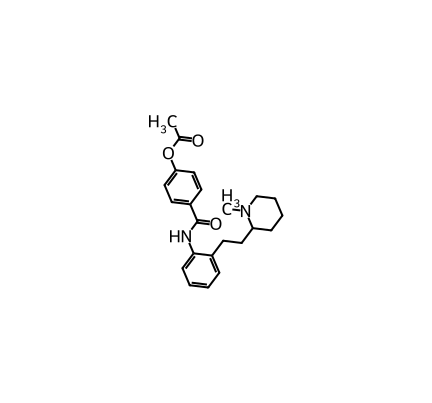 CC(=O)Oc1ccc(C(=O)Nc2ccccc2CCC2CCCCN2C)cc1